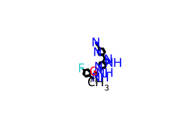 C[C@@H](NC(=O)Nc1cc2[nH]nc(-c3ccc(C#N)nc3)c2cn1)c1ccc(F)cc1